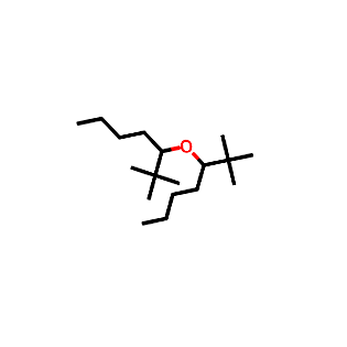 CCCCC(OC(CCCC)C(C)(C)C)C(C)(C)C